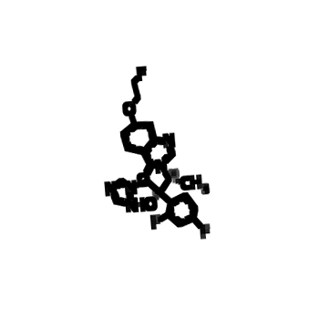 C[C@@H](n1cnc2cc(OCCF)ccc2c1=O)[C@](O)(Cn1cncn1)c1ccc(F)cc1F